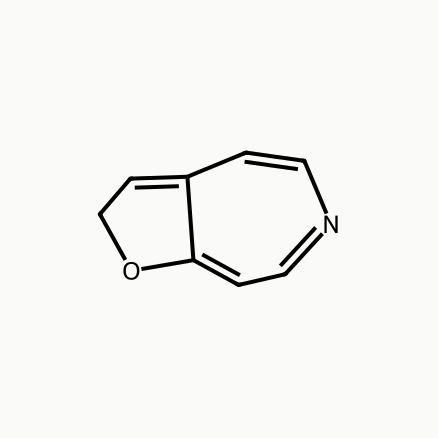 C1=CC2=CCOC2=CC=N1